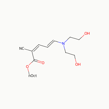 CCCCCCCCOC(=O)/C(C#N)=C\C=C\N(CCO)CCO